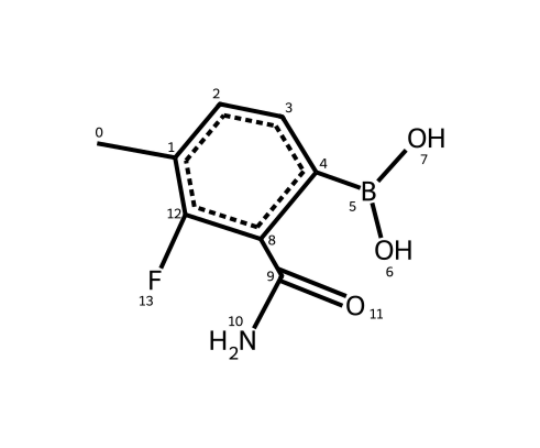 Cc1ccc(B(O)O)c(C(N)=O)c1F